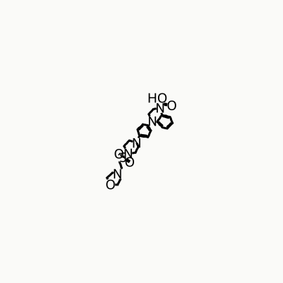 O=C(O)N1CCN(c2ccc(N3CCN(S(=O)(=O)CCN4CCOCC4)CC3)cc2)c2ccccc21